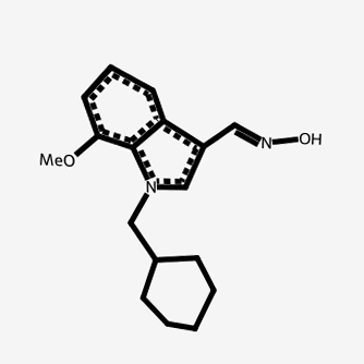 COc1cccc2c(C=NO)cn(CC3CCCCC3)c12